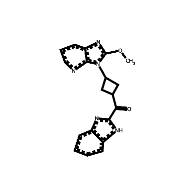 COc1nc2cccnc2n1C1CC(C(=O)c2nc3ccccc3[nH]2)C1